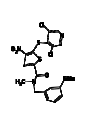 CSc1cccc(CN(C)C(=O)c2cc([N+](=O)[O-])c(Sc3c(Cl)cncc3Cl)s2)c1